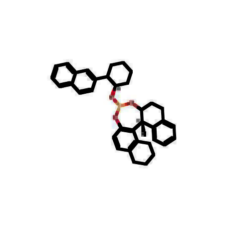 c1ccc2c(c1)CCC1OP(O[C@@H]3CCCCC3c3ccc4ccccc4c3)Oc3ccc4c(c3[C@@H]21)CCCC4